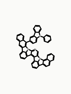 c1ccc(-n2c3ccccc3c3cc(-c4c5ccccc5cc5c6cccc7c8c9c%10cccc%11c%12ccc%13ccccc%13c%12n(c9cnc8n(c45)c67)c%11%10)ccc32)cc1